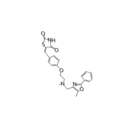 Cc1oc(-c2ccccc2)nc1CN(C)CCOc1ccc(C=C2SC(=O)NC2=O)cc1